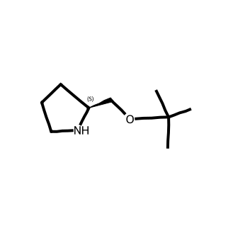 CC(C)(C)OC[C@@H]1CCCN1